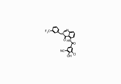 N#Cc1cc(C(=O)Nc2cccc3ncn(Cc4cccc(C(F)(F)F)c4)c(=O)c23)cc(Cl)c1O